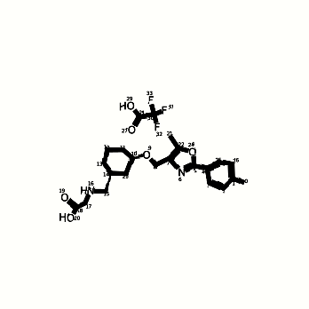 Cc1ccc(-c2nc(CO[C@@H]3CCC[C@H](CNCC(=O)O)C3)c(C)o2)cc1.O=C(O)C(F)(F)F